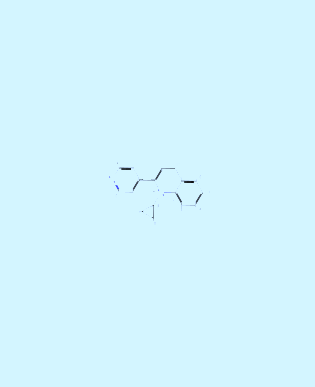 C1=C(c2ccncc2)N(C2CC2)c2ccccc2C1